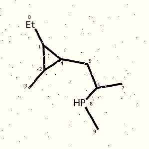 CCC1C(C)C1CC(C)PC